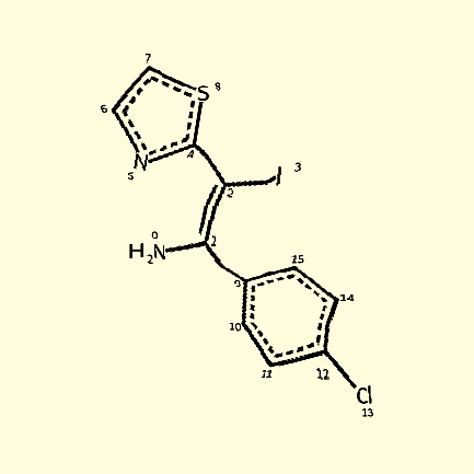 NC(=C(I)c1nccs1)c1ccc(Cl)cc1